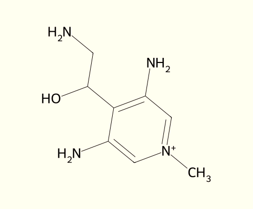 C[n+]1cc(N)c(C(O)CN)c(N)c1